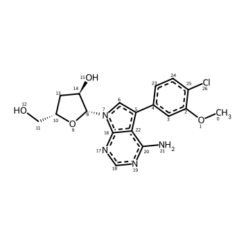 COc1cc(-c2cn([C@@H]3O[C@H](CO)C[C@H]3O)c3ncnc(N)c23)ccc1Cl